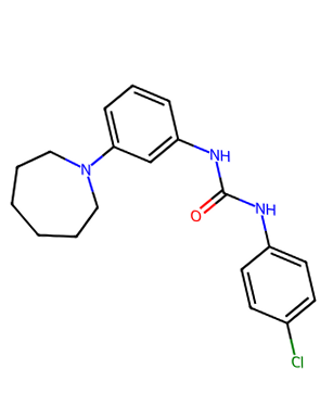 O=C(Nc1ccc(Cl)cc1)Nc1cccc(N2CCCCCC2)c1